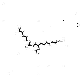 CCCCCCCCCCCCCCCCC(COC(CC)OCCOCCO)OCC(C)=O